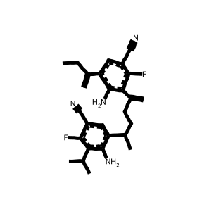 C=C(CC)c1cc(C#N)c(F)c(C(=C)CCC(C)c2cc(C#N)c(F)c(C(C)C)c2N)c1N